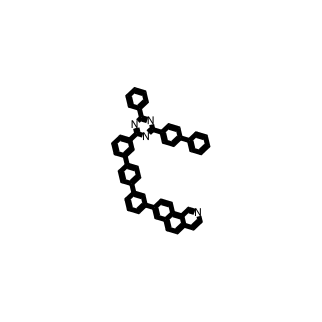 c1ccc(-c2ccc(-c3nc(-c4ccccc4)nc(-c4cccc(-c5ccc(-c6cccc(-c7ccc8c(ccc9ccncc98)c7)c6)cc5)c4)n3)cc2)cc1